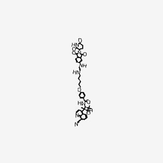 CC1(C)C(NC(=O)c2ccc(OCCCCCNCCNc3ccc4c(c3)C(=O)N(C3CCC(=O)NC3=O)C4=O)cc2)C2(C)c3ccnc4c(C#N)ccc(c34)O[C@@H]12